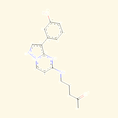 CC(=O)CCCNc1ccn2ncc(-c3cccc(O)c3)c2n1